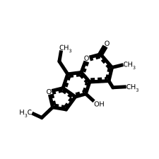 CCc1cc2c(O)c3c(CC)c(C)c(=O)oc3c(CC)c2o1